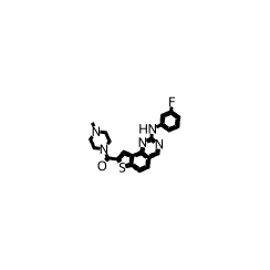 CN1CCN(C(=O)c2cc3c(ccc4cnc(Nc5cccc(F)c5)nc43)s2)CC1